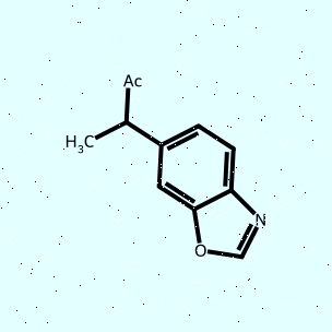 CC(=O)C(C)c1ccc2ncoc2c1